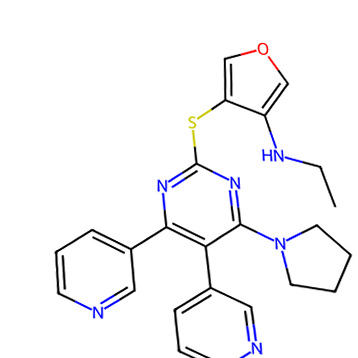 CCNc1cocc1Sc1nc(-c2cccnc2)c(-c2cccnc2)c(N2CCCC2)n1